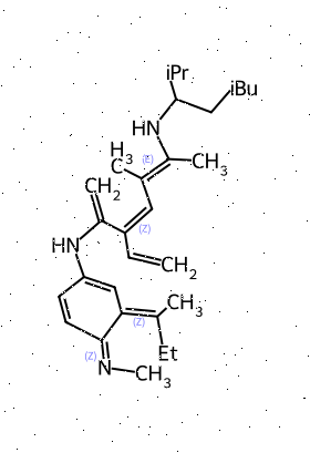 C=C/C(=C/C(C)=C(\C)NC(CC(C)CC)C(C)C)C(=C)NC1=CC(=C(\C)CC)/C(=N\C)C=C1